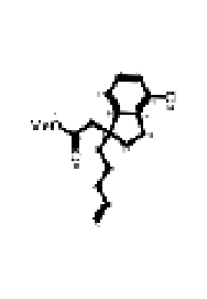 C=CCCCC1(CC(=O)OC)CCc2c(Cl)cccc21